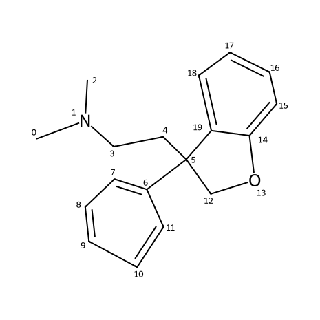 CN(C)CCC1(c2ccccc2)COc2ccccc21